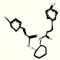 O=C(/C=C/c1ccc(Cl)cc1)N[C@H]1CCCC[C@@H]1NC(=O)/C=C/c1ccc(Cl)cc1